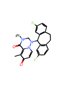 Cc1c2n(ccc1=O)N(C1c3cc(F)ccc3CCc3ccc(F)cc31)CN(C(C)C)C2=O